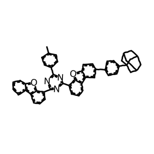 Cc1ccc(-c2nc(-c3cccc4c3oc3ccccc34)nc(-c3cccc4c3oc3ccc(-c5ccc(C67CC8CC(CC(C8)C6)C7)cc5)cc34)n2)cc1